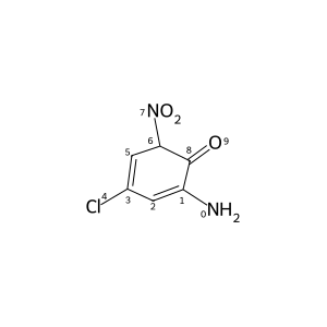 NC1=CC(Cl)=CC([N+](=O)[O-])C1=O